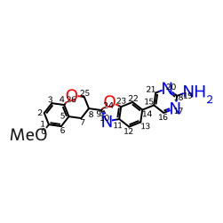 COc1ccc2c(c1)CC(c1nc3ccc(-c4cnc(N)nc4)cc3o1)CO2